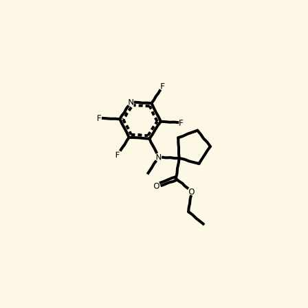 CCOC(=O)C1(N(C)c2c(F)c(F)nc(F)c2F)CCCC1